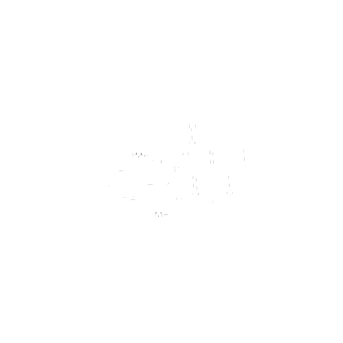 CCOc1cccc(OCC)c1C(=O)P(=O)(C(=O)c1c(OC)cccc1OC)C(C)CC